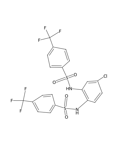 O=S(=O)(Nc1ccc(Cl)cc1NS(=O)(=O)c1ccc(C(F)(F)F)cc1)c1ccc(C(F)(F)F)cc1